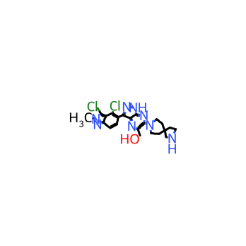 Cn1nc2ccc(-c3n[nH]c4nc(N5CCC6(CCNC6)CC5)c(CO)nc34)c(Cl)c2c1Cl